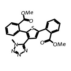 COC(=O)c1ccccc1-c1cc(-c2nnnn2C)c(-c2ccccc2C(=O)OC)s1